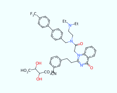 CCN(CC)CCN(Cc1ccc(-c2ccc(C(F)(F)F)cc2)cc1)C(=O)Cn1c(CCc2cccc(C#N)c2)nc(=O)c2ccccc21.O=C(O)C(O)C(O)C(=O)O